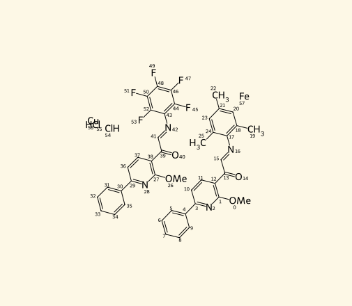 COc1nc(-c2ccccc2)ccc1C(=O)C=Nc1c(C)cc(C)cc1C.COc1nc(-c2ccccc2)ccc1C(=O)C=Nc1c(F)c(F)c(F)c(F)c1F.Cl.Cl.[Cu].[Fe]